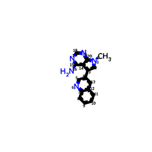 Cn1cc(-c2cnc3ccccc3c2)c2c(N)ncnc21